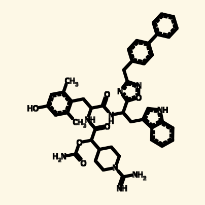 Cc1cc(O)cc(C)c1CC(NC(=O)C(OC(N)=O)C1CCN(C(=N)N)CC1)C(=O)NC(Cc1c[nH]c2ccccc12)c1nc(Cc2ccc(-c3ccccc3)cc2)no1